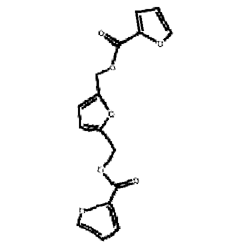 O=C(OCc1ccc(COC(=O)c2ccco2)o1)c1ccco1